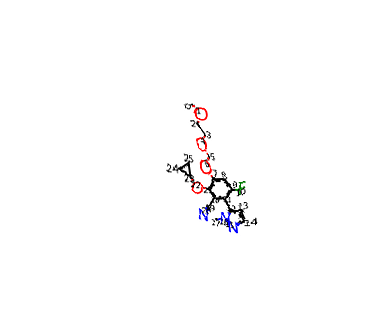 COCCOCOc1cc(F)c(-c2ccnn2C)c(C#N)c1OC1CC1